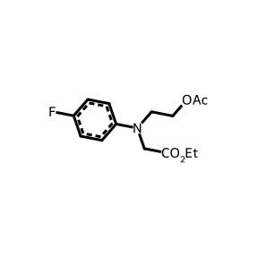 CCOC(=O)CN(CCOC(C)=O)c1ccc(F)cc1